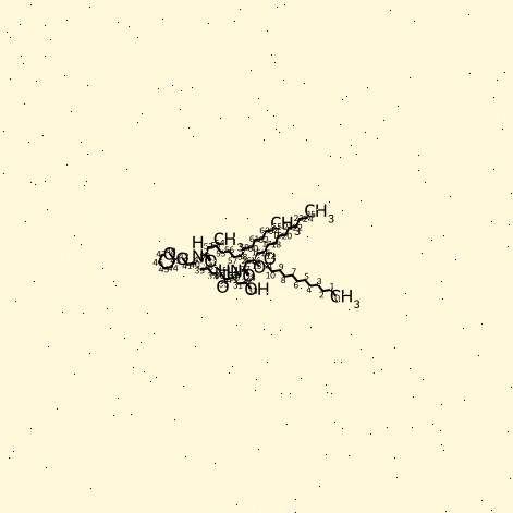 CCCCCCCCCCCC(=O)O[C@H](CCCCCCCCCCC)CC(=O)N[C@@H](CCO)C(=O)NCCC[C@H](COC1CCCCO1)NC(=O)C[C@H](C)CCCCCCCCCCC